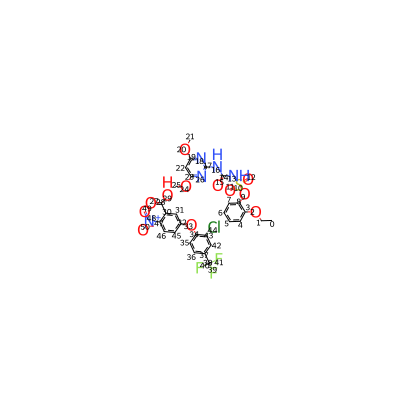 CCOc1ccccc1OS(=O)(=O)NC(=O)Nc1nc(OC)cc(OC)n1.O=C(O)c1cc(Oc2ccc(C(F)(F)F)cc2Cl)ccc1[N+](=O)[O-]